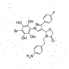 Nc1ccc(CCN2C(=O)COC2c2cn(-c3c(O)c(O)c(Br)c(O)c3O)nc2-c2ccc(F)cc2)cc1